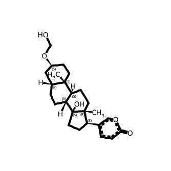 C[C@]12CC[C@H](OCO)C[C@H]1CC[C@@H]1[C@@H]2CC[C@]2(C)[C@@H](c3ccc(=O)oc3)CC[C@]12O